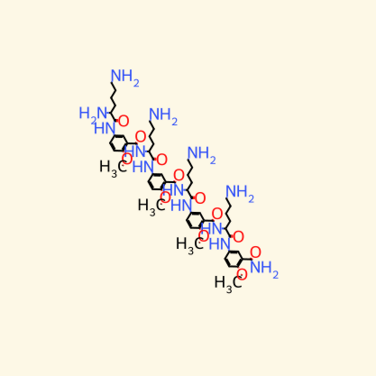 COc1ccc(NC(=O)C(CCCCN)NC(=O)c2cc(NC(=O)C(CCCCN)NC(=O)c3cc(NC(=O)C(CCCCN)NC(=O)c4cc(NC(=O)C(N)CCCCN)ccc4OC)ccc3OC)ccc2OC)cc1C(N)=O